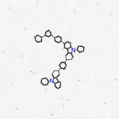 C1=c2c(n(-c3ccccc3)c3ccccc23)=CCC1c1ccc(C2C=c3c(n(-c4ccccc4)c4ccc(-c5ccc(-c6cccc(-c7ccccc7)c6)cc5)cc34)=CC2)cc1